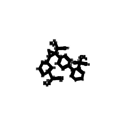 CS(=O)(=O)c1ccccc1-c1ccc(C2(C(N)=O)CC2c2cccc(C(=N)N)c2)cc1